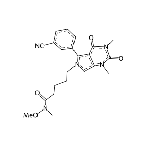 CON(C)C(=O)CCCCn1cc2c(c1-c1cccc(C#N)c1)c(=O)n(C)c(=O)n2C